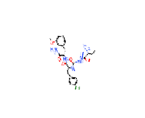 CC[C@H](N)C(=O)NNC(=O)N[C@@H](Cc1ccc(Cl)cc1)C(=O)N[C@@H](Cc1cccc(OC)c1)C(N)=O